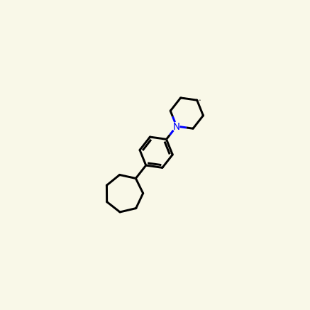 [CH]1CCN(c2ccc(C3CCCCCC3)cc2)CC1